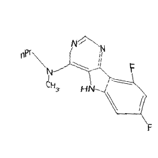 CCCN(C)c1ncnc2c1[nH]c1cc(F)cc(F)c12